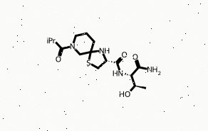 CC(C)C(=O)N1CCCC2(C1)N[C@H](C(=O)N[C@H](C(N)=O)[C@@H](C)O)CS2